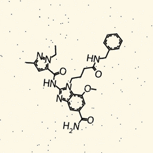 CCn1nc(C)cc1C(=O)Nc1nc2cc(C(N)=O)cc(OC)c2n1CCCC(=O)NCc1ccccc1